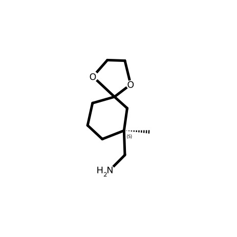 C[C@]1(CN)CCCC2(C1)OCCO2